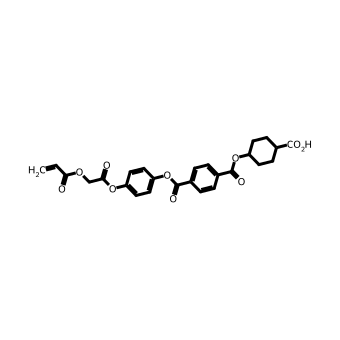 C=CC(=O)OCC(=O)Oc1ccc(OC(=O)c2ccc(C(=O)OC3CCC(C(=O)O)CC3)cc2)cc1